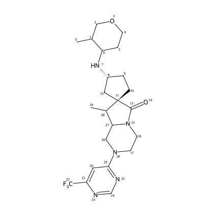 CC1COCCC1N[C@@H]1CC[C@@]2(C1)C(=O)N1CCN(c3cc(C(F)(F)F)ncn3)CC1C2C